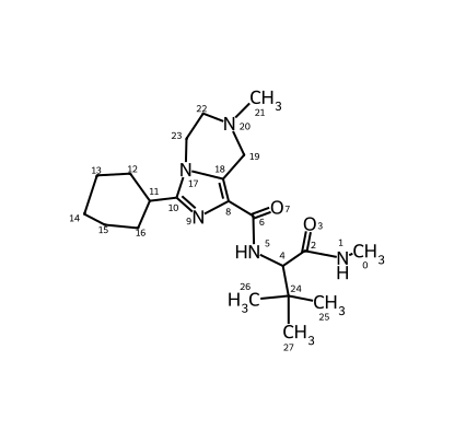 CNC(=O)C(NC(=O)c1nc(C2CCCCC2)n2c1CN(C)CC2)C(C)(C)C